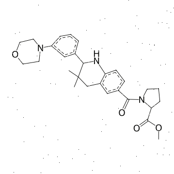 COC(=O)C1CCCN1C(=O)c1ccc2c(c1)CC(C)(C)C(c1cccc(N3CCOCC3)c1)N2